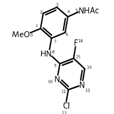 COc1ccc(NC(C)=O)cc1Nc1nc(Cl)ncc1F